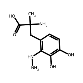 CC(N)(Cc1ccc(O)c(O)c1NN)C(=O)O